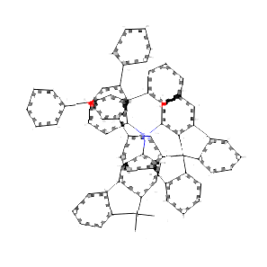 CC1(C)c2ccccc2-c2cc(N(c3ccccc3-c3ccccc3)c3cccc4c3C3(c5ccccc5-c5ccc(-c6cc(-c7ccccc7)cc(-c7ccccc7)c6)cc53)c3ccccc3-4)ccc21